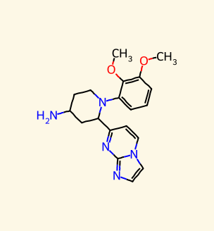 COc1cccc(N2CCC(N)CC2c2ccn3ccnc3n2)c1OC